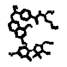 CN(Cc1cnc2nc(N)nc(N)c2n1)c1ccc(C(=O)N[C@@H](CCC(=O)O)C(=O)O)cc1.Nc1ccn([C@@H]2O[C@H](CO)[C@@H](O)C2(F)F)c(=O)n1